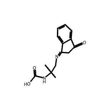 CC(C)(CN=C1CC(=O)c2ccccc21)NC(=O)O